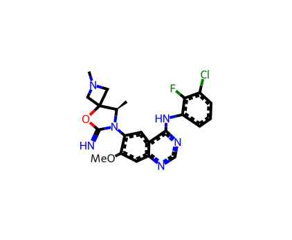 COc1cc2ncnc(Nc3cccc(Cl)c3F)c2cc1N1C(=N)OC2(CN(C)C2)[C@H]1C